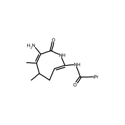 C/C1=C(\N)C(=O)N/C(NC(=O)C(C)C)=C/CC1C